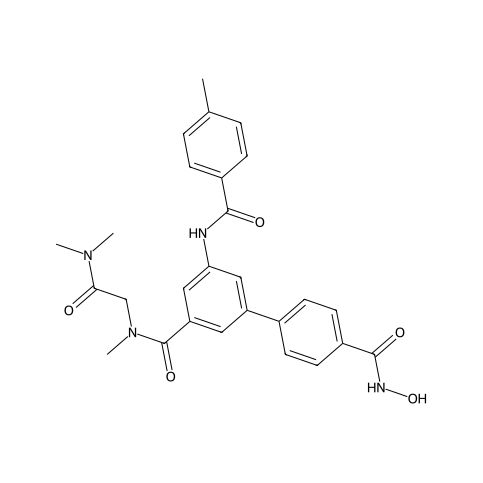 Cc1ccc(C(=O)Nc2cc(C(=O)N(C)CC(=O)N(C)C)cc(-c3ccc(C(=O)NO)cc3)c2)cc1